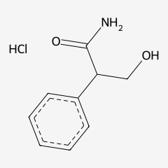 Cl.NC(=O)C(CO)c1ccccc1